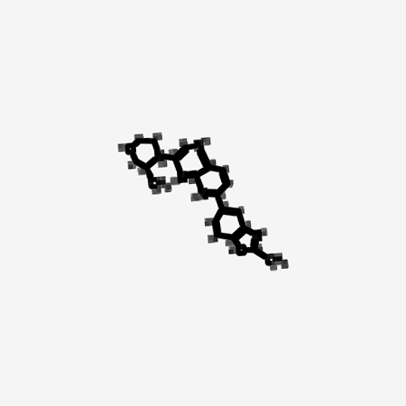 Cc1nc2cc(-c3ccc4ncc(N5CCOC[C@@H]5C)nc4n3)ccc2o1